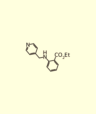 CCOC(=O)c1ccccc1NCc1ccncc1